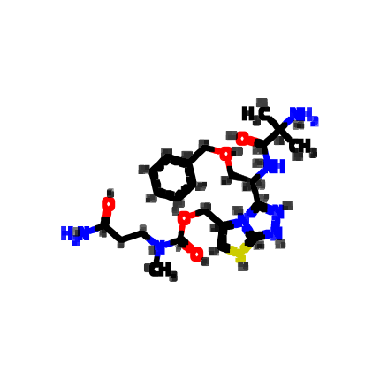 CN(CCC(N)=O)C(=O)OCc1csc2nnc([C@@H](COCc3ccccc3)NC(=O)C(C)(C)N)n12